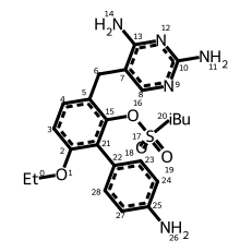 CCOc1ccc(Cc2cnc(N)nc2N)c(OS(=O)(=O)C(C)CC)c1-c1ccc(N)cc1